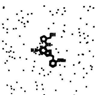 COc1ccccc1Cn1cc2nc(N)nc(NC3CCCC3CO)c2n1